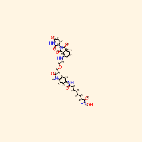 CN(C(=O)CCOCCNc1cccc2c1C(=O)N(C1CCC(=O)NC1=O)C2=O)c1ccc(NC(=O)CCCCCCC(=O)NO)cc1